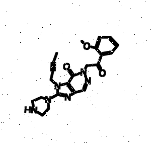 CC#CCn1c(N2CCNCC2)nc2cnn(CC(=O)c3ccccc3OC)c(=O)c21